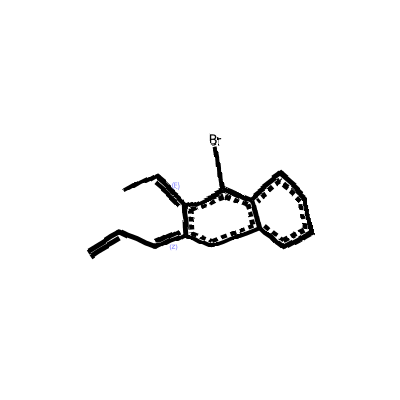 C=C/C=c1/cc2ccccc2c(Br)/c1=C/C